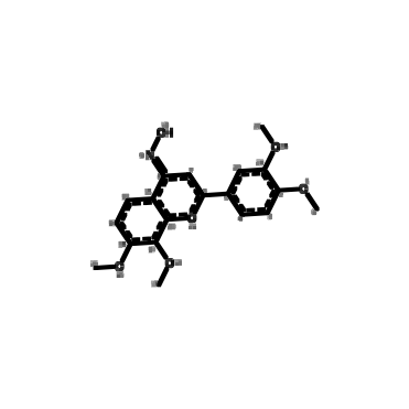 COc1ccc(-c2c/c(=N\O)c3ccc(OC)c(OC)c3o2)cc1OC